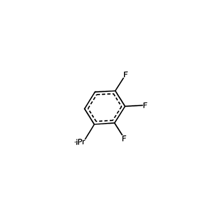 C[C](C)c1ccc(F)c(F)c1F